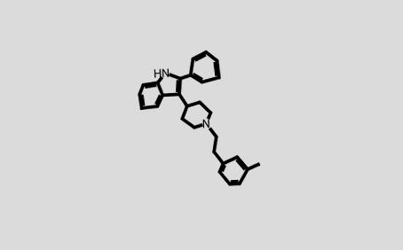 Cc1cccc(CCN2CCC(c3c(-c4ccccc4)[nH]c4ccccc34)CC2)c1